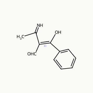 CC(=N)/C(C=O)=C(\O)c1ccccc1